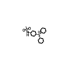 CS(=O)(=O)Nc1ccc([SH](c2ccccc2)c2ccccc2)cc1